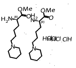 COC(=O)[C@H](N)CCCCN1CCCCC1.COC(=O)[C@H](N)CCCCN1CCCCC1.Cl.Cl.Cl.Cl